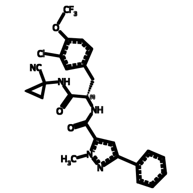 Cn1nc(-c2ccccc2)cc1C(=O)N[C@@H](Cc1ccc(OC(F)(F)F)c(Cl)c1)C(=O)NC1(C#N)CC1